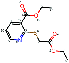 CCOC(=O)CSc1ncccc1C(=O)OCC